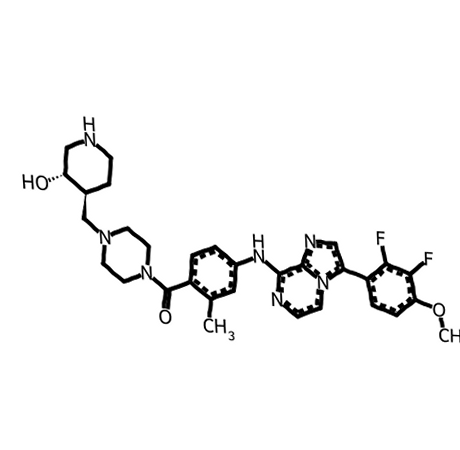 COc1ccc(-c2cnc3c(Nc4ccc(C(=O)N5CCN(C[C@@H]6CCNC[C@H]6O)CC5)c(C)c4)nccn23)c(F)c1F